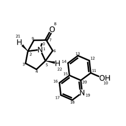 CN1[C@@H]2CC[C@H]1CC(=O)C2.Oc1cccc2cccnc12